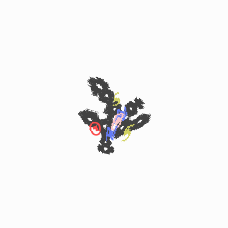 CC(C)(C)c1ccc(N2B3c4cc5c(cc4-n4c6cc7c(cc6c6c8oc9ccccc9c8c(c3c64)-c3cc4c(cc32)sc2cc3c(cc24)C(C)(C)CCC3(C)C)C(C)(C)CCC7(C)C)sc2ccccc25)cc1